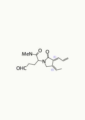 C=C/C=C1/C(=O)N(C(CCC=O)C(=O)NC)C/C1=C/C